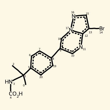 CC(C)(NC(=O)O)c1ccc(-c2cnc3c(Br)cnn3c2)cc1